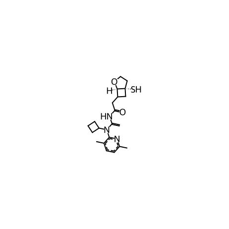 C=C(NC(=O)CC1C[C@]2(S)CCO[C@H]12)N(c1nc(C)ccc1C)C1CCC1